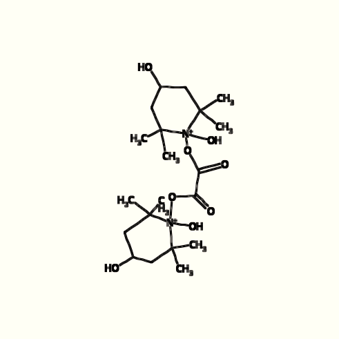 CC1(C)CC(O)CC(C)(C)[N+]1(O)OC(=O)C(=O)O[N+]1(O)C(C)(C)CC(O)CC1(C)C